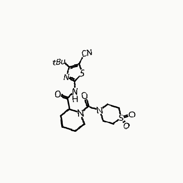 CC(C)(C)c1nc(NC(=O)C2CCCCN2C(=O)N2CCS(=O)(=O)CC2)sc1C#N